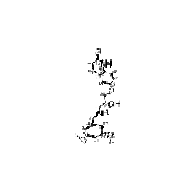 COc1cc(CNC[C@@H](O)COc2ccc3[nH]c(=O)ccc3c2)cc(OC)c1